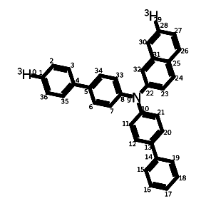 [3H]c1ccc(-c2ccc(N(c3ccc(-c4ccccc4)cc3)c3ccc4ccc([3H])cc4c3)cc2)cc1